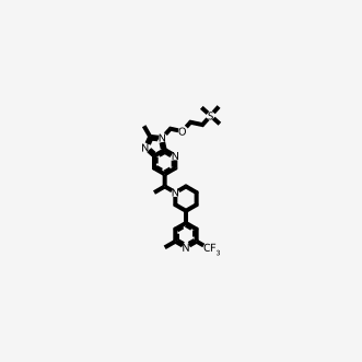 Cc1cc(C2CCCN(C(C)c3cnc4c(c3)nc(C)n4COCCS(C)(C)C)C2)cc(C(F)(F)F)n1